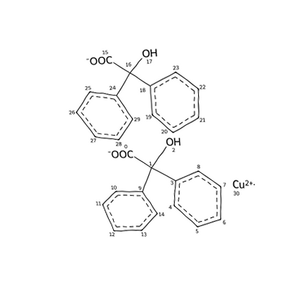 O=C([O-])C(O)(c1ccccc1)c1ccccc1.O=C([O-])C(O)(c1ccccc1)c1ccccc1.[Cu+2]